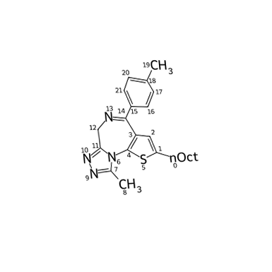 CCCCCCCCc1cc2c(s1)-n1c(C)nnc1CN=C2c1ccc(C)cc1